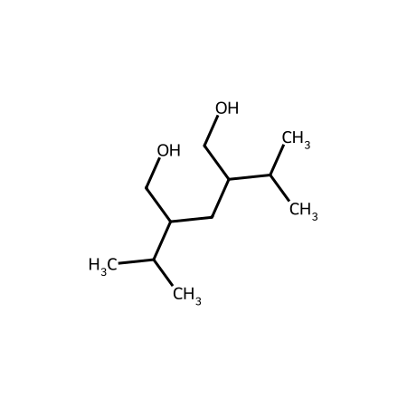 CC(C)C(CO)CC(CO)C(C)C